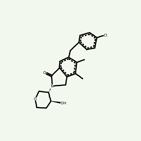 Cc1c(Cc2ccc(Cl)cc2)cc2c(c1C)CN([C@H]1COCC[C@@H]1O)C2=O